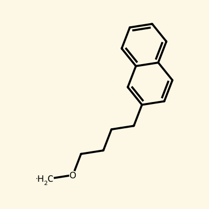 [CH2]OCCCCc1ccc2ccccc2c1